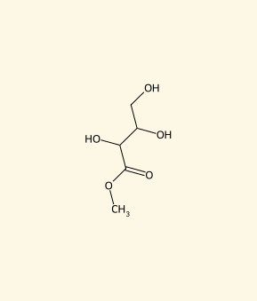 COC(=O)C(O)C(O)CO